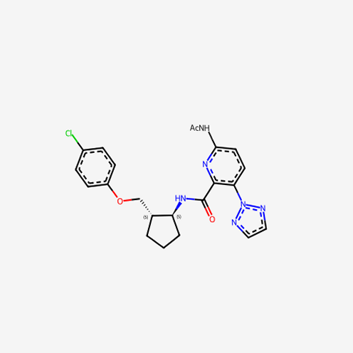 CC(=O)Nc1ccc(-n2nccn2)c(C(=O)N[C@H]2CCC[C@@H]2COc2ccc(Cl)cc2)n1